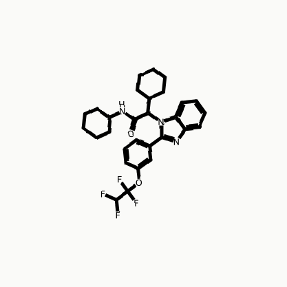 O=C(NC1CCCCC1)C(C1CCCCC1)n1c(-c2cccc(OC(F)(F)C(F)F)c2)nc2ccccc21